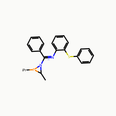 CC(C)P1C(C)N1/C(=N/c1ccccc1Sc1ccccc1)c1ccccc1